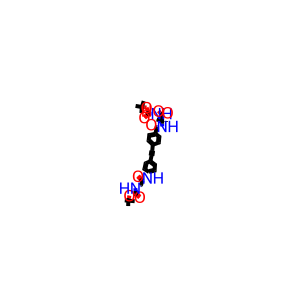 CC(C)(C)OC(=O)NCC(=O)Nc1ccc(C#Cc2ccc(C(=O)N[C@@](C)(CNC(=O)OC(C)(C)C)C(=O)O)cc2)cc1